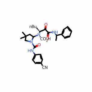 CCCC[C@@H](C(=O)C(=O)NC(C)c1ccccc1)N(C(=O)O)C1CC(C)(C)CN1C(=O)Nc1ccc(C#N)cc1